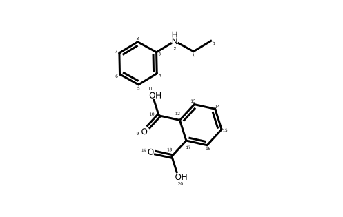 CCNc1ccccc1.O=C(O)c1ccccc1C(=O)O